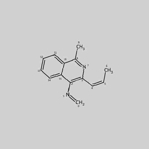 C=Nc1c(/C=C\C)nc(C)c2ccccc12